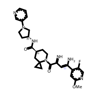 COc1cc(/C(N)=C/C(=N)C(=O)N2CC[C@H](C(=O)N[C@@H]3CCN(c4cccnc4)C3)CC23CC3)c(F)cn1